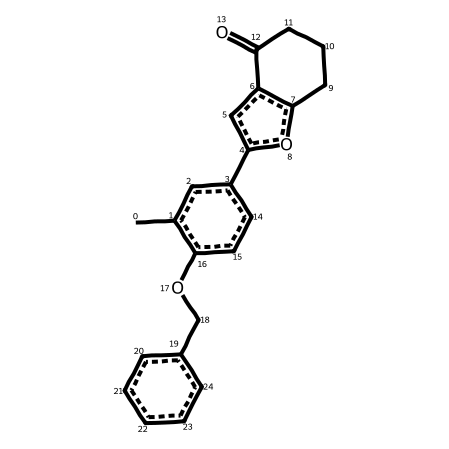 Cc1cc(-c2cc3c(o2)CCCC3=O)ccc1OCc1ccccc1